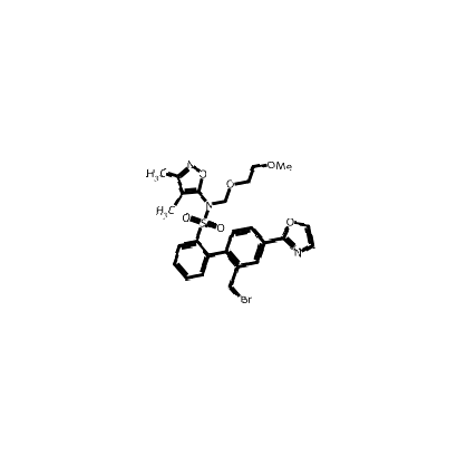 COCCOCN(c1onc(C)c1C)S(=O)(=O)c1ccccc1-c1ccc(-c2ncco2)cc1CBr